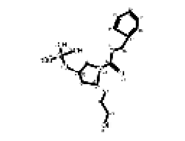 CC(C)(C)[Si](C)(C)O[C@@H]1C[C@@H](CCCO)N(C(=O)OCc2ccccc2)C1